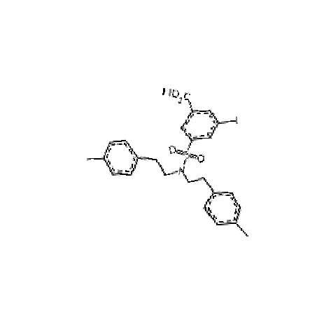 Cc1ccc(CCN(CCc2ccc(C)cc2)S(=O)(=O)c2cc(I)cc(C(=O)O)c2)cc1